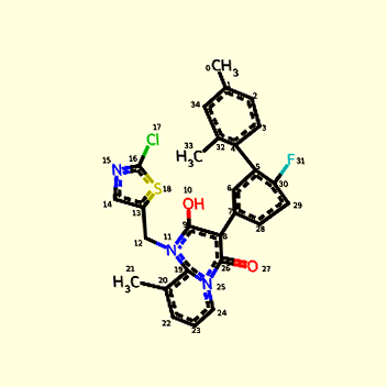 Cc1ccc(-c2cc(-c3c(O)[n+](Cc4cnc(Cl)s4)c4c(C)cccn4c3=O)ccc2F)c(C)c1